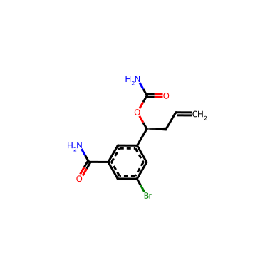 C=CC[C@H](OC(N)=O)c1cc(Br)cc(C(N)=O)c1